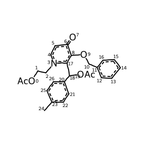 CC(=O)OCCn1ccc(=O)c(OCc2ccccc2)c1C(OC(C)=O)c1ccc(C)cc1